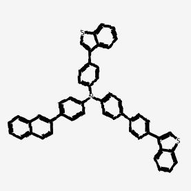 c1ccc2cc(-c3ccc(N(c4ccc(-c5ccc(-c6csc7ccccc67)cc5)cc4)c4ccc(-c5csc6ccccc56)cc4)cc3)ccc2c1